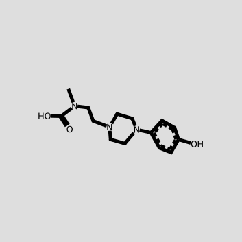 CN(CCN1CCN(c2ccc(O)cc2)CC1)C(=O)O